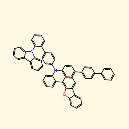 c1ccc(-c2ccc(-c3ccc(N(c4ccc(-c5ccccc5-n5c6ccccc6c6ccccc65)cc4)c4ccccc4-c4cccc5c4oc4ccccc45)cc3)cc2)cc1